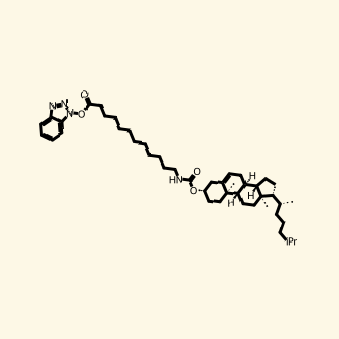 CC(C)CCC[C@@H](C)[C@H]1CC[C@H]2[C@@H]3CC=C4C[C@@H](OC(=O)NCCCCCCCCCCCC(=O)On5nnc6ccccc65)CC[C@]4(C)[C@H]3CC[C@]12C